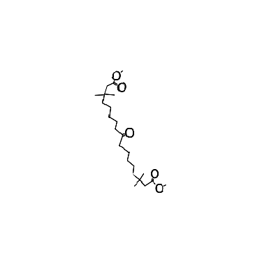 COC(=O)CC(C)(C)CCCCCC(=O)CCCCCC(C)(C)CC(=O)OC